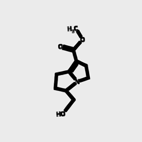 COC(=O)C1=C2CCC(CO)N2CC1